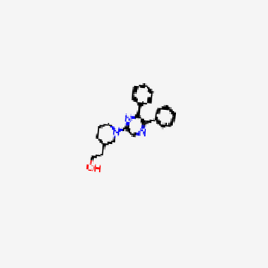 OCCC1CCCN(c2cnc(-c3ccccc3)c(-c3ccccc3)n2)C1